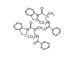 C[C@@H](CSC(=O)c1ccccc1)C(=O)N1c2ccccc2C[C@@H]1C(=O)O.C[C@@H](CSC(=O)c1ccccc1)C(=O)N1c2ccccc2C[C@H]1C(=O)O